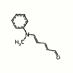 CN(C=CC=CC=O)c1ccccc1